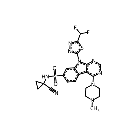 CN1CCN(c2ncnc3c2c2ccc(S(=O)(=O)NC4(C#N)CC4)cc2n3-c2nnc(C(F)F)s2)CC1